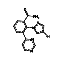 [2H]c1cnn(-c2c(C(N)=O)cccc2-c2ccncn2)c1